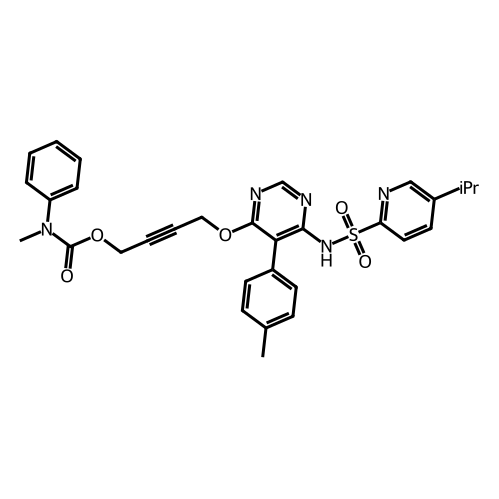 Cc1ccc(-c2c(NS(=O)(=O)c3ccc(C(C)C)cn3)ncnc2OCC#CCOC(=O)N(C)c2ccccc2)cc1